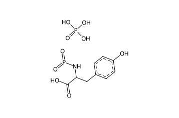 O=C(O)C(Cc1ccc(O)cc1)NP(=O)=O.O=P(O)(O)O